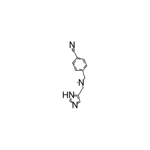 N#Cc1ccc(C[N]Cc2cnc[nH]2)cc1